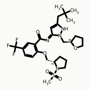 CC(C)(C)Cc1cc(=NC(=O)c2cc(C(F)(F)F)ccc2OC[C@@H]2CCCN2S(C)(=O)=O)n(C[C@H]2CCCO2)[nH]1